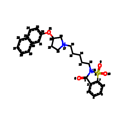 O=C1c2ccccc2S(=O)(=O)N1CCCCCN1CCC(Oc2ccc3ccccc3c2)C1